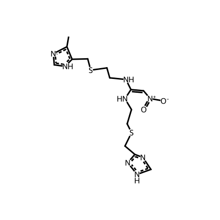 Cc1nc[nH]c1CSCCNC(=C[N+](=O)[O-])NCCSCc1nc[nH]n1